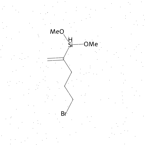 C=C(CCCBr)[SiH](OC)OC